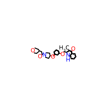 Cc1c(COc2cccc(OC3CCN(C(=O)CC4CCOCC4)CC3)c2)[nH]c2ccccc2c1=O